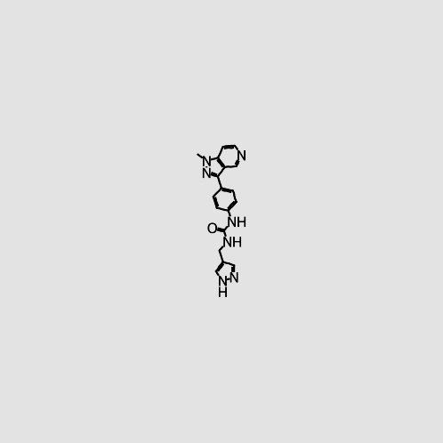 Cn1nc(-c2ccc(NC(=O)NCc3cn[nH]c3)cc2)c2cnccc21